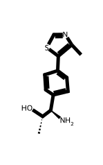 Cc1ncsc1-c1ccc([C@@H](N)[C@H](C)O)cc1